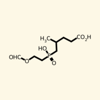 CC(CCC(=O)O)CP(=O)(O)CCOC=O